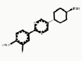 CCCCCCCc1ccc(-c2ncc([C@H]3CC[C@H](CCCCCC)CC3)cn2)cc1F